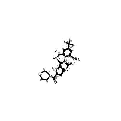 C[C@@H](Nc1nc(Cl)nc2cc(C(=O)N3CCOCC3)[nH]c12)c1cc(N)cc(C(F)(F)F)c1